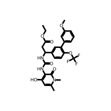 CCOC(=O)CC(NC(=O)Nc1c(O)cc(C)n(C)c1=O)c1ccc(OC(F)(F)F)c(-c2cccc(OC)c2)c1